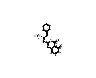 O=C(O)[C@H](Cc1ccccc1)Nc1nc2cccc(Cl)c2c(=O)o1